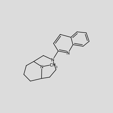 CN1C2CCCC1CN(c1ccc3ccccc3n1)CC2